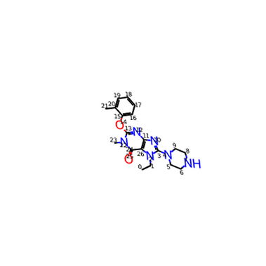 CCn1c(N2CCNCC2)nc2nc(Oc3ccccc3C)n(C)c(=O)c21